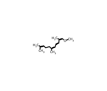 COC=C(C)C=CC=C(C)CCC=C(C)C